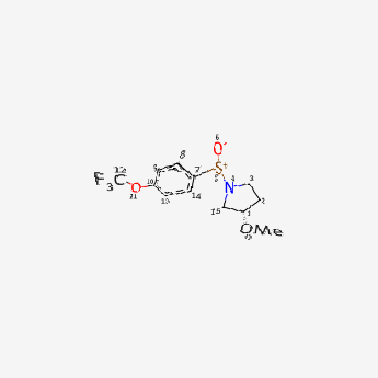 CO[C@H]1CCN([S+]([O-])c2ccc(OC(F)(F)F)cc2)C1